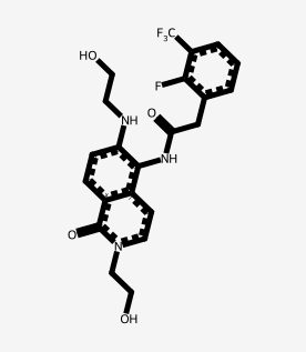 O=C(Cc1cccc(C(F)(F)F)c1F)Nc1c(NCCO)ccc2c(=O)n(CCO)ccc12